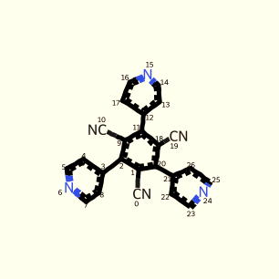 N#Cc1c(-c2ccncc2)c(C#N)c(-c2ccncc2)c(C#N)c1-c1ccncc1